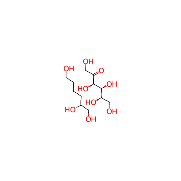 O=C(CO)[C@H](O)[C@@H](O)[C@H](O)CO.OCCCCC(O)CO